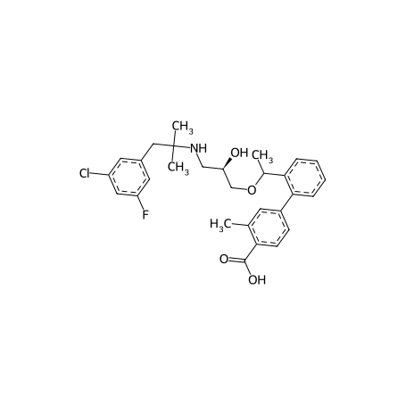 Cc1cc(-c2ccccc2C(C)OC[C@H](O)CNC(C)(C)Cc2cc(F)cc(Cl)c2)ccc1C(=O)O